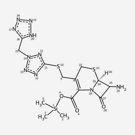 C[Si](C)(C)OC(=O)C1=C(CSc2nnn(Cc3nnn[nH]3)n2)CS[C@H]2C(N)C(=O)N12